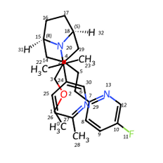 CCOCC1(CCc2ccc(F)cn2)C[C@H]2CC[C@@H](C1)N2C(C)(C)c1ccc(C)nc1